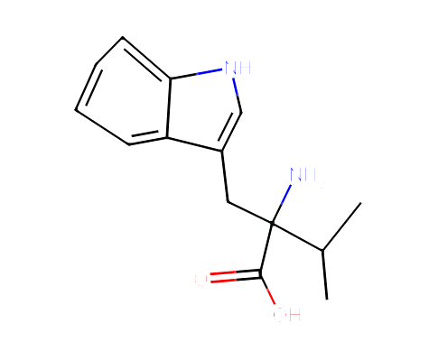 CC(C)C(N)(Cc1c[nH]c2ccccc12)C(=O)O